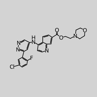 O=C(OCCN1CCOCC1)c1ccc2c(Nc3cnnc(-c4cc(Cl)ccc4F)c3)ccnc2c1